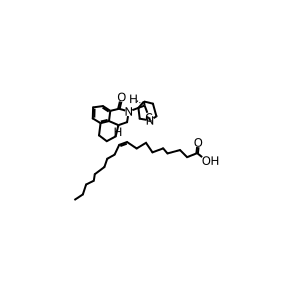 CCCCCCCC/C=C\CCCCCCCC(=O)O.O=C1c2cccc3c2[C@@H](CCC3)CN1[C@@H]1CN2CCC1CC2